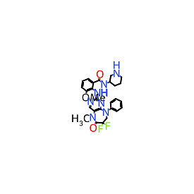 COc1cccc(C(=O)NC2CCCNC2)c1Nc1ncc2c(n1)N(c1ccccc1)CC(F)(F)C(=O)N2C